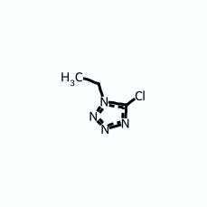 CCn1nnnc1Cl